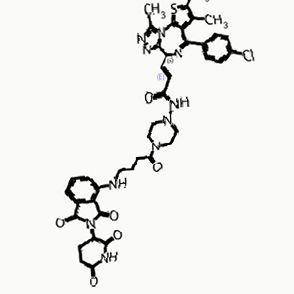 Cc1sc2c(c1C)C(c1ccc(Cl)cc1)=N[C@@H](/C=C/C(=O)NN1CCN(C(=O)CCCNc3cccc4c3C(=O)N(C3CCC(=O)NC3=O)C4=O)CC1)c1nnc(C)n1-2